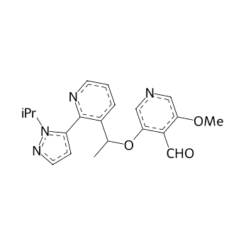 COc1cncc(OC(C)c2cccnc2-c2ccnn2C(C)C)c1C=O